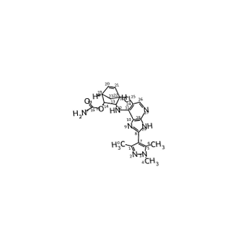 Cc1nn(C)c(C)c1-c1nc2c(N[C@H]3[C@@H](OC(N)=O)[C@@H]4C=C[C@H]3C4)c(Cl)cnc2[nH]1